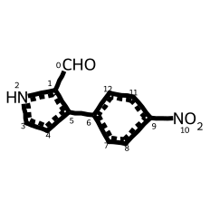 O=Cc1[nH]ccc1-c1ccc([N+](=O)[O-])cc1